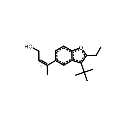 CCc1oc2ccc(/C(C)=C\CO)cc2c1C(C)(C)C